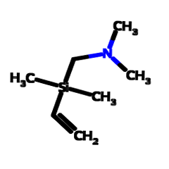 C=C[Si](C)(C)CN(C)C